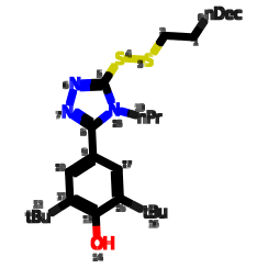 CCCCCCCCCCCCSSc1nnc(-c2cc(C(C)(C)C)c(O)c(C(C)(C)C)c2)n1CCC